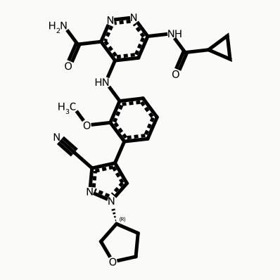 COc1c(Nc2cc(NC(=O)C3CC3)nnc2C(N)=O)cccc1-c1cn([C@@H]2CCOC2)nc1C#N